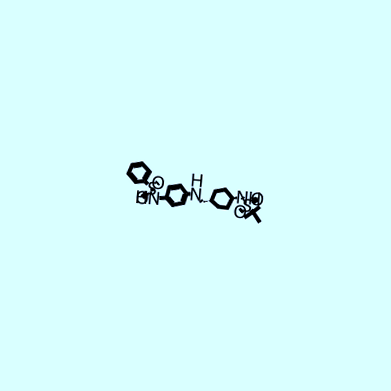 CC(C)(C)S(=O)(=O)N[C@H]1CC[C@H](CNc2ccc(NS(=O)(=O)c3ccccc3)cc2)CC1